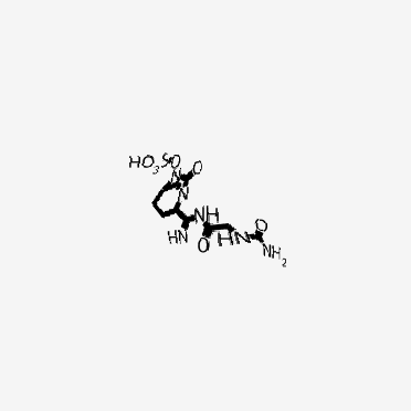 N=C(NC(=O)CNC(N)=O)C1CCC2CN1C(=O)N2OS(=O)(=O)O